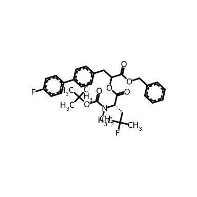 CN(C(=O)OC(C)(C)C)[C@@H](CC(C)(C)F)C(=O)OC(Cc1ccc(-c2ccc(F)cc2)cc1)C(=O)OCc1ccccc1